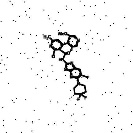 COc1cncc(F)c1-c1cc(C)nc(Cl)c1C(=O)Nc1nc2cc(F)c(N3CCC(F)(F)CC3)nc2s1